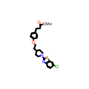 COC(=O)CCc1ccc(OCCC2CCN(c3nc4ccc(Cl)cc4s3)CC2)cc1